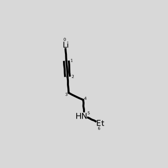 [Li][C]#CCCNCC